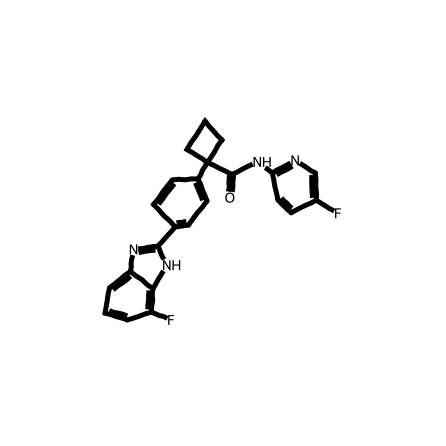 O=C(Nc1ccc(F)cn1)C1(c2ccc(-c3nc4cccc(F)c4[nH]3)cc2)CCC1